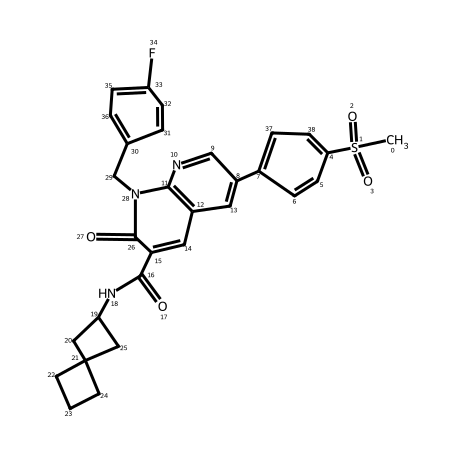 CS(=O)(=O)c1ccc(-c2cnc3c(c2)cc(C(=O)NC2CC4(CCC4)C2)c(=O)n3Cc2ccc(F)cc2)cc1